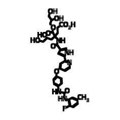 Cc1ccc(F)c(NC(=O)Nc2ccc(Oc3ccnc(-c4cc(C(=O)NC(CCC(=O)O)(CC(O)CO)C(=O)OCC(O)CO)c[nH]4)c3)cc2)c1